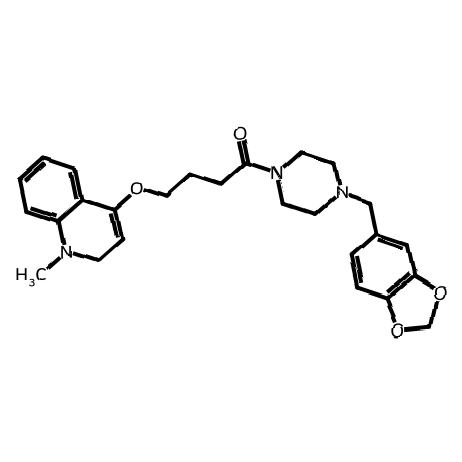 CN1CC=C(OCCCC(=O)N2CCN(Cc3ccc4c(c3)OCO4)CC2)c2ccccc21